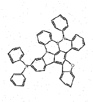 c1ccc(N2B3c4ccccc4-n4c5cc(N(c6ccccc6)c6ccccc6)ccc5c5c6c(oc7ccccc76)c(c3c54)-c3ccccc32)cc1